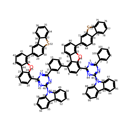 c1ccc(-c2nc(-c3ccc(-c4cccc(-c5nc(-c6cccc7c6oc6c(-c8ccc9sc%10ccccc%10c9c8)cccc67)nc(-n6c7ccccc7c7ccccc76)n5)c4)c4c3oc3c(-c5ccc6c(c5)sc5ccccc56)cccc34)nc(-n3c4ccccc4c4ccccc43)n2)cc1